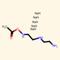 CC(=O)ONCCNCCN.[NaH].[NaH].[NaH].[NaH].[NaH]